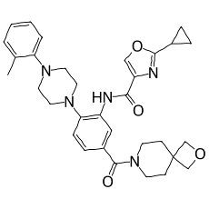 Cc1ccccc1N1CCN(c2ccc(C(=O)N3CCC4(CC3)COC4)cc2NC(=O)c2coc(C3CC3)n2)CC1